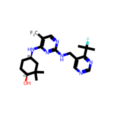 CC(C)(F)c1ncncc1CNc1ncc(C(F)(F)F)c(N[C@@H]2CC[C@H](O)C(C)(C)C2)n1